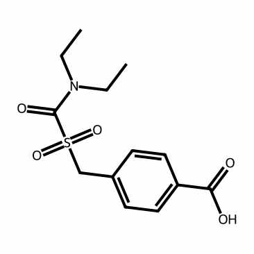 CCN(CC)C(=O)S(=O)(=O)Cc1ccc(C(=O)O)cc1